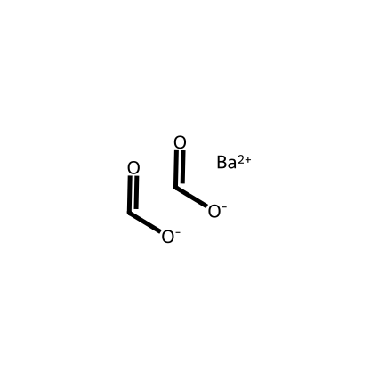 O=C[O-].O=C[O-].[Ba+2]